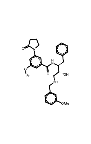 COc1cccc(CNC[C@@H](O)[C@H](Cc2ccccc2)NC(=O)c2cc(OC(C)C)cc(N3CCCC3=O)c2)c1